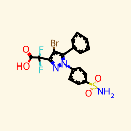 NS(=O)(=O)c1ccc(-n2nc(C(F)(F)C(=O)O)c(Br)c2-c2ccccc2)cc1